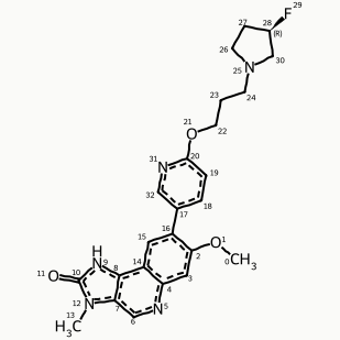 COc1cc2ncc3c([nH]c(=O)n3C)c2cc1-c1ccc(OCCCN2CC[C@@H](F)C2)nc1